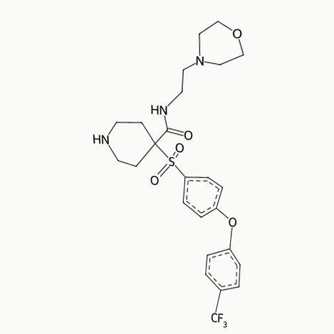 O=C(NCCN1CCOCC1)C1(S(=O)(=O)c2ccc(Oc3ccc(C(F)(F)F)cc3)cc2)CCNCC1